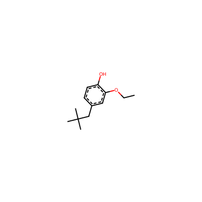 CCOc1cc(CC(C)(C)C)ccc1O